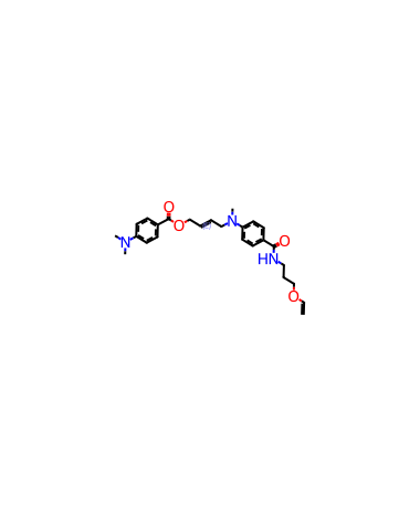 C=COCCCNC(=O)c1ccc(N(C)C/C=C/COC(=O)c2ccc(N(C)C)cc2)cc1